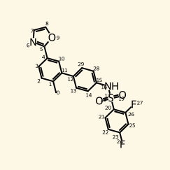 Cc1ccc(-c2ncco2)cc1-c1ccc(NS(=O)(=O)c2ccc(F)cc2F)cc1